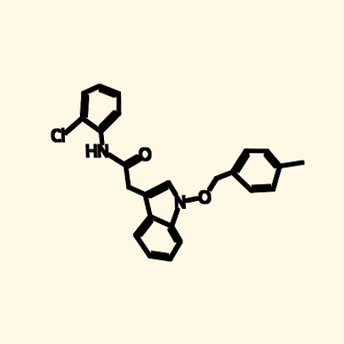 Cc1ccc(COn2cc(CC(=O)Nc3ccccc3Cl)c3ccccc32)cc1